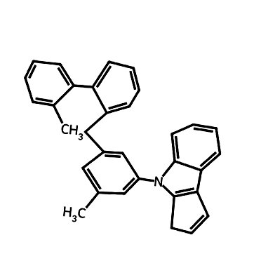 Cc1cc(Cc2ccccc2-c2ccccc2C)cc(-n2c3c(c4ccccc42)C=CC3)c1